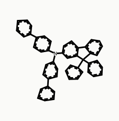 c1ccc(-c2ccc(N(c3ccc(-c4ccccc4)cc3)c3ccc4c(c3)C(c3ccccc3)(c3ccccc3)c3ccccc3-4)cc2)cc1